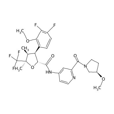 COc1c([C@H]2[C@H](C(=O)Nc3ccnc(C(=O)N4CC[C@@H](OC)C4)c3)O[C@@](C)(C(F)(F)F)[C@H]2C)ccc(F)c1F